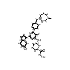 CN1CCCN(Cc2ccc(-c3nc(-c4cnc5ccc(F)cn45)nc(N[C@@H]4CCCN(C(=O)CC#N)C4)c3F)cc2)CC1